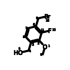 COc1c(CO)ccc(CBr)c1F